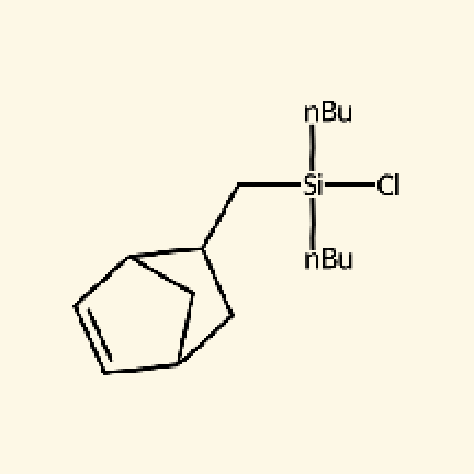 CCCC[Si](Cl)(CCCC)CC1CC2C=CC1C2